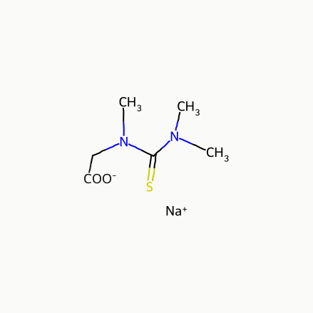 CN(C)C(=S)N(C)CC(=O)[O-].[Na+]